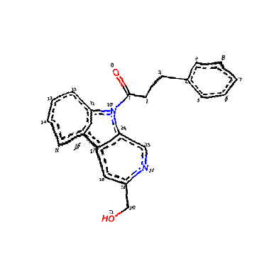 O=C(CCc1ccccc1)n1c2ccccc2c2cc(CO)ncc21